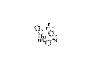 O=S(=O)(Nc1cccc(C2=NCCc3cc(C(F)(F)F)ccc32)c1)c1ccc2ccccc2c1